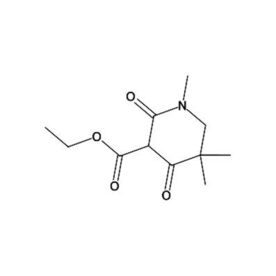 CCOC(=O)C1C(=O)N(C)CC(C)(C)C1=O